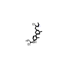 C/C=C\C(CC)CC1=CC(C)C=C(c2ccc(BC(CC)CCC)cc2C)C1